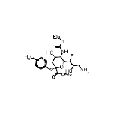 COC(=O)[C@]1(Sc2ccc(C)cc2)C[C@H](O)[C@@H](NC(=O)OC(C)(C)C)[C@H]([C@@H](F)[C@H](O)CN)O1